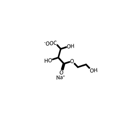 O=C([O-])C(O)C(O)C(=O)OCCO.[Na+]